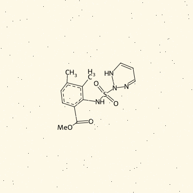 COC(=O)c1ccc(C)c(C)c1NS(=O)(=O)N1N=CC=CN1